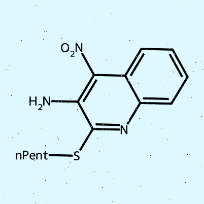 CCCCCSc1nc2ccccc2c([N+](=O)[O-])c1N